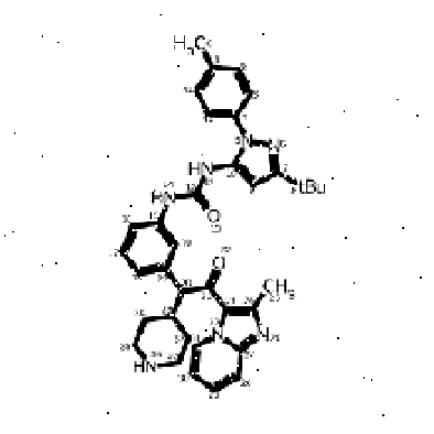 Cc1ccc(-n2nc(C(C)(C)C)cc2NC(=O)Nc2cccc(C(C(=O)c3c(C)nc4ccccn34)C3CCNCC3)c2)cc1